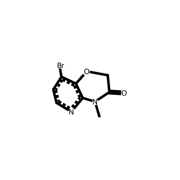 CN1C(=O)COc2c(Br)ccnc21